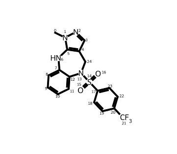 Cn1ncc2c1Nc1ccccc1N(S(=O)(=O)c1ccc(C(F)(F)F)cc1)C2